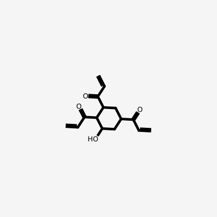 C=CC(=O)C1CC(O)C(C(=O)C=C)C(C(=O)C=C)C1